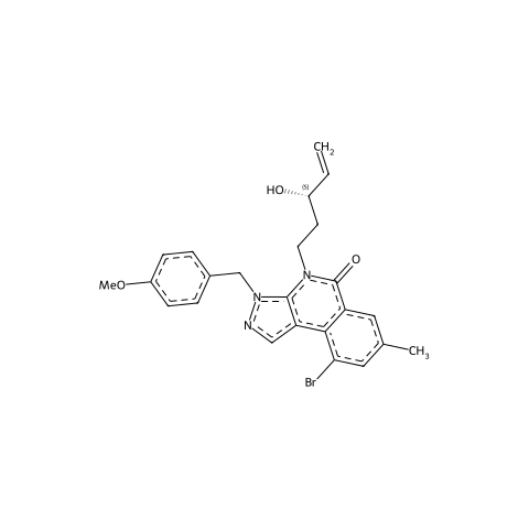 C=C[C@@H](O)CCn1c(=O)c2cc(C)cc(Br)c2c2cnn(Cc3ccc(OC)cc3)c21